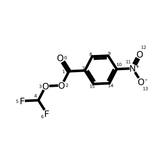 O=C(OOC(F)F)c1ccc([N+](=O)[O-])cc1